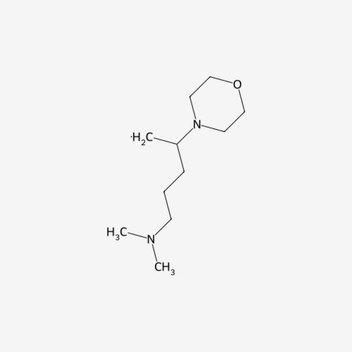 [CH2]C(CCCN(C)C)N1CCOCC1